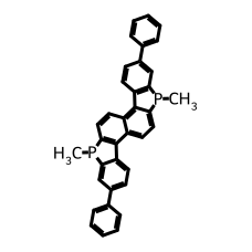 Cp1c2cc(-c3ccccc3)ccc2c2c3ccc4c(c3ccc21)c1ccc(-c2ccccc2)cc1p4C